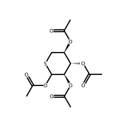 CC(=O)OC1SC[C@@H](OC(C)=O)[C@H](OC(C)=O)[C@H]1OC(C)=O